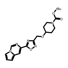 CC(C)(C)OC(=O)N1CCC(OCc2noc(-c3cc4cccn4cn3)n2)CC1